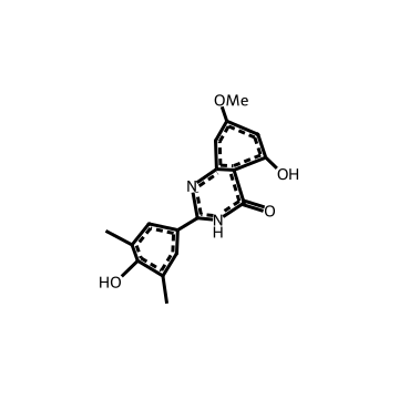 COc1cc(O)c2c(=O)[nH]c(-c3cc(C)c(O)c(C)c3)nc2c1